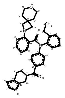 CCc1ccccc1N(C(=O)c1cccnc1N1CC2(CCOCC2)C1)c1ccc(C(=O)C2CCc3ccsc3C2)cc1